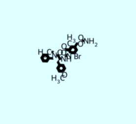 CCN(Cc1ccccc1)C(=O)[C@H](Cc1ccc(OC)cc1)Nc1nc2c(Br)cc(COC(N)=O)c(C)c2c(=O)o1